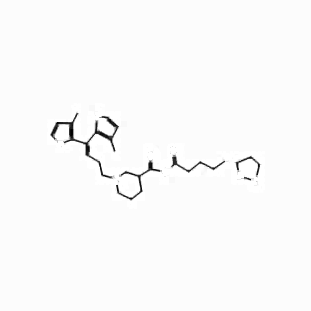 Cc1ccsc1C(=CCCN1CCCC(C(=O)OC(=O)CCCC[C@@H]2CCSS2)C1)c1sccc1C